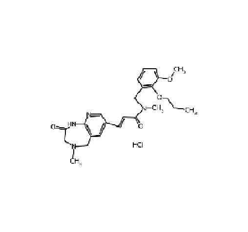 CCCOc1c(CN(C)C(=O)/C=C/c2cnc3c(c2)CN(C)CC(=O)N3)cccc1OC.Cl